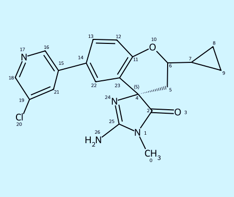 CN1C(=O)[C@@]2(CC(C3CC3)Oc3ccc(-c4cncc(Cl)c4)cc32)N=C1N